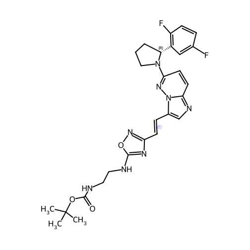 CC(C)(C)OC(=O)NCCNc1nc(/C=C/c2cnc3ccc(N4CCC[C@@H]4c4cc(F)ccc4F)nn23)no1